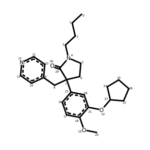 CCCCN1CCC(Cc2ccncc2)(c2ccc(OC)c(OC3CCCC3)c2)C1=O